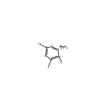 Fc1ccc(F)c(F)c1.[MgH2]